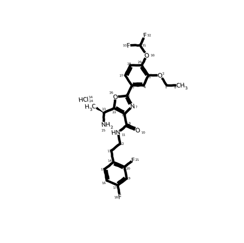 CCOc1cc(-c2nc(C(=O)NCCc3ccc(F)cc3F)c([C@H](C)N)o2)ccc1OC(F)F.Cl